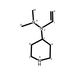 C=CN(C1CCNCC1)N(C)C